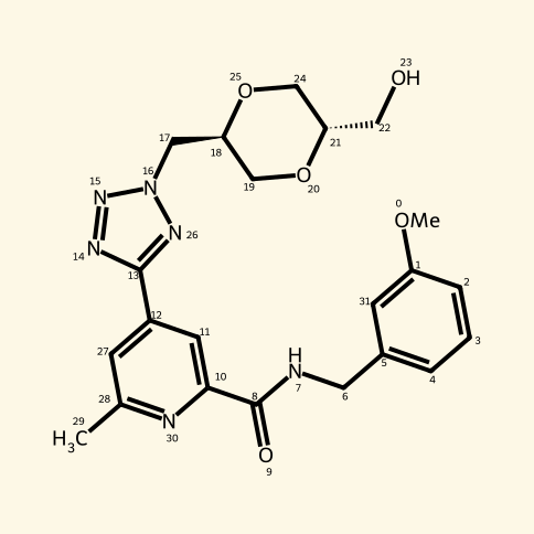 COc1cccc(CNC(=O)c2cc(-c3nnn(C[C@@H]4CO[C@@H](CO)CO4)n3)cc(C)n2)c1